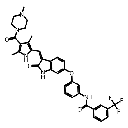 Cc1[nH]c(C=C2C(=O)Nc3cc(Oc4cccc(NC(=O)c5cccc(C(F)(F)F)c5)c4)ccc32)c(C)c1C(=O)N1CCN(C)CC1